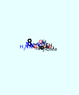 CCCOCc1nc2c(N)nc3ccccc3c2n1CCCN(Cc1cccc(OC(C)(C)C(=O)OC)c1)C(=O)CN(CC)CC